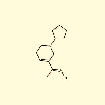 CC(=NO)C1=CCCN(C2CCCC2)C1